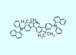 CC1(C)c2cc(N(c3ccccc3)c3cccc4ccccc34)ccc2-c2c1ccc1c3c(ccc21)C(C)(C)c1cc(N(c2ccccc2)c2cccc4ccccc24)ccc1-3